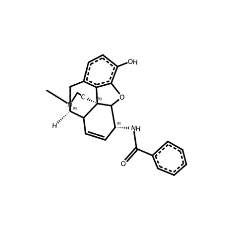 CN1CC[C@]23c4c5ccc(O)c4OC2[C@H](NC(=O)c2ccccc2)C=CC3[C@H]1C5